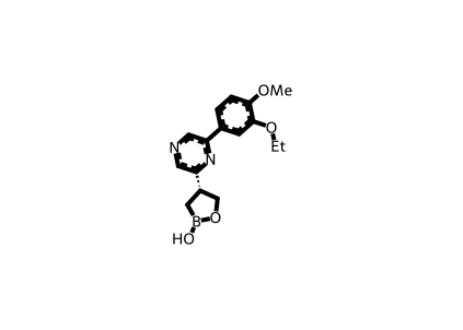 CCOc1cc(-c2cncc([C@@H]3COB(O)C3)n2)ccc1OC